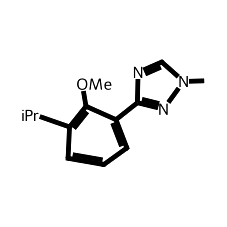 COc1c(-c2ncn(C)n2)cccc1C(C)C